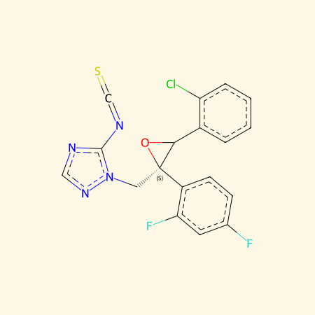 Fc1ccc([C@@]2(Cn3ncnc3N=C=S)OC2c2ccccc2Cl)c(F)c1